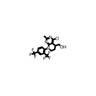 Cc1nc(Cl)c2c(n1)N(c1ccc(C(F)(F)F)cc1C(F)(F)F)CCC2CO